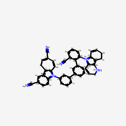 N#CC1=CCc2c(n(-c3cccc(-c4cccc(-c5c(C#N)cccc5-n5c6c(c7c5C=CCN7)CCC=C6)c4)c3)c3ccc(C#N)cc23)C=C1